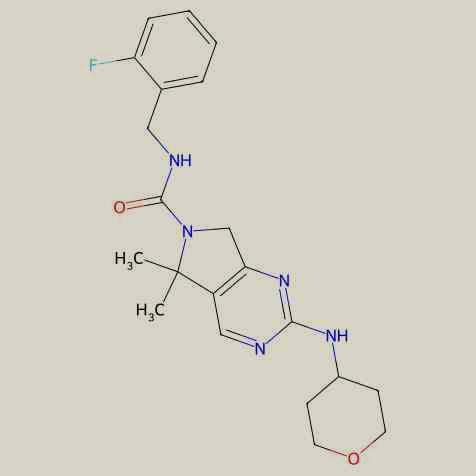 CC1(C)c2cnc(NC3CCOCC3)nc2CN1C(=O)NCc1ccccc1F